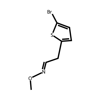 CON=CCc1ccc(Br)s1